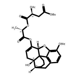 COc1ccc2c3c1O[C@H]1C(OC(=O)[C@H](C)OC(=O)[C@H](CC(=O)OCC(C)C)OC(C)=O)=CC[C@@]4(O)[C@H](CCCC314)C2